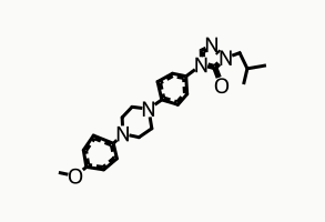 COc1ccc(N2CCN(c3ccc(-n4cnn(CC(C)C)c4=O)cc3)CC2)cc1